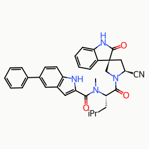 CC(C)C[C@@H](C(=O)N1C[C@]2(C[C@H]1C#N)C(=O)Nc1ccccc12)N(C)C(=O)c1cc2cc(-c3ccccc3)ccc2[nH]1